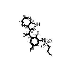 CCCS(=O)(=O)Nc1cc(F)cc(C(=O)C2=NNC3N=CC=NC23)c1F